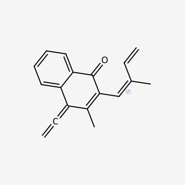 C=C=C1C(C)=C(/C=C(/C)C=C)C(=O)c2ccccc21